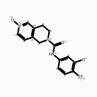 O=C(Nc1ccc(C(F)(F)F)c(Cl)c1)N1CCc2c[n+]([O-])ccc2C1